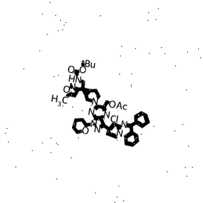 CC(=O)OCc1nc2c(-c3ccnc(N=C(c4ccccc4)c4ccccc4)c3Cl)nn(C3CCCCO3)c2nc1N1CCC2C(C1)C2(CNC(=O)OC(C)(C)C)c1cc(C)on1